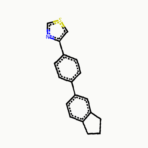 c1nc(-c2ccc(-c3ccc4c(c3)CCC4)cc2)cs1